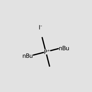 CCCC[P+](C)(C)CCCC.[I-]